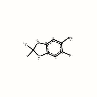 CC1(F)Oc2cc(F)c(C(C)(C)C)cc2O1